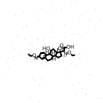 CCON=C1C=C[C@@]2(C)C(=C1)CC[C@@H]1[C@@H]2[C@@H](O)C[C@@]2(C)[C@H]1C[C@@H](C)[C@]2(O)C(=NOCC)C(=O)O